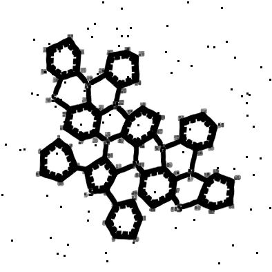 c1ccc(-c2sc(-c3ccccc3)c3c2N2c4ccc5c6c4B(c4ccccc4N6c4ccccc4S5)c4ccc5c(c42)N3c2ccc3c4c2B5c2ccccc2N4c2ccccc2S3)cc1